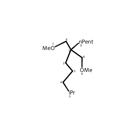 CCCCCC(CCCC(C)C)(COC)COC